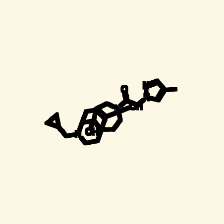 Cc1cnn(CC(=O)N2CCC34CCN(CC5CC5)C(Cc5ccc(O)cc53)C4(O)CC2)c1